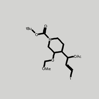 COCOC1CN(C(=O)OC(C)(C)C)CCC1C(C=CI)OC(C)=O